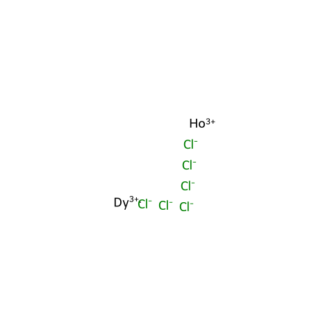 [Cl-].[Cl-].[Cl-].[Cl-].[Cl-].[Cl-].[Dy+3].[Ho+3]